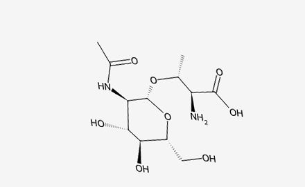 CC(=O)N[C@H]1[C@H](O[C@H](C)[C@H](N)C(=O)O)O[C@H](CO)[C@@H](O)[C@@H]1O